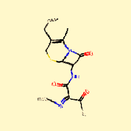 CCC(=O)/C(=N/OC)C(=O)NC1C(=O)N2C(C)=C(COC)CSC12